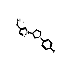 NCc1cnn(C2CCN(c3ccc(F)cc3)C2)c1